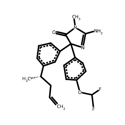 C=CC[C@H](C)c1cccc(C2(c3ccc(OC(F)F)cc3)N=C(N)N(C)C2=O)c1